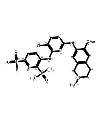 COc1cc2c(cc1Nc1ncc(Cl)c(Nc3ccc(S(=O)(=O)F)nc3P(C)(C)=O)n1)CN(C)CC2